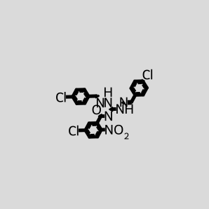 O=C(N=C(NN=Cc1ccc(Cl)cc1)NN=Cc1ccc(Cl)cc1)c1cc(Cl)ccc1[N+](=O)[O-]